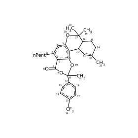 CCCCCc1cc2c(c3c1C(=O)OC(C)(c1ccc(C(F)(F)F)cc1)O3)C1C=C(C)CCC1C(C)(C)O2